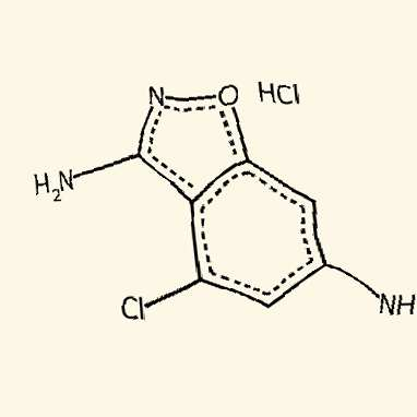 Cl.Nc1cc(Cl)c2c(N)noc2c1